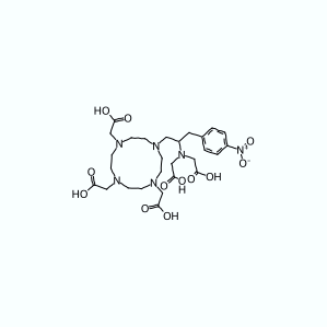 O=C(O)CN1CCN(CC(=O)O)CCN(CC(Cc2ccc([N+](=O)[O-])cc2)N(CC(=O)O)CC(=O)O)CCN(CC(=O)O)CC1